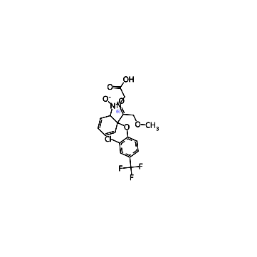 COC/C(=N\CC(=O)O)C1(Oc2ccc(C(F)(F)F)cc2Cl)C=CC=CC1[N+](=O)[O-]